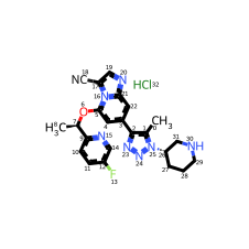 Cc1c(-c2cc(O[C@H](C)c3ccc(F)cn3)n3c(C#N)cnc3c2)nnn1[C@H]1CCCNC1.Cl